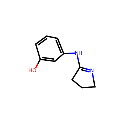 Oc1cccc(NC2=NCCC2)c1